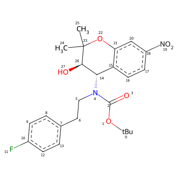 CC(C)(C)OC(=O)N(CCc1ccc(F)cc1)[C@H]1c2ccc([N+](=O)[O-])cc2OC(C)(C)[C@@H]1O